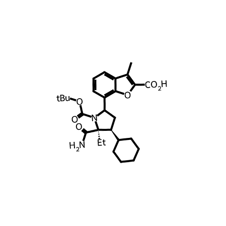 CC[C@@]1(C(N)=O)[C@H](C2CCCCC2)CC(c2cccc3c(C)c(C(=O)O)oc23)N1C(=O)OC(C)(C)C